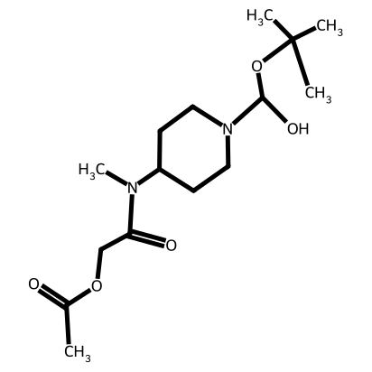 CC(=O)OCC(=O)N(C)C1CCN(C(O)OC(C)(C)C)CC1